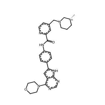 C[C@@H]1CCCN(Cc2ccnc(C(=O)Nc3ccc(-c4cc5c(N6CCOCC6)ncnc5[nH]4)cc3)c2)C1